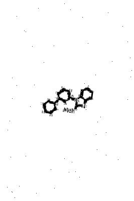 CNc1nc2ccccc2n1-c1cccc(-c2ccccc2)c1